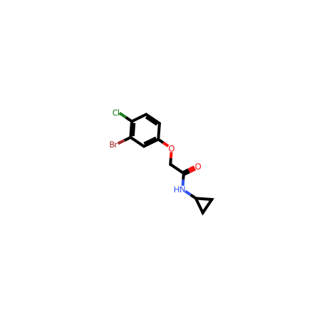 O=C(COc1ccc(Cl)c(Br)c1)NC1CC1